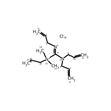 C=CCN=C(N(CC=C)CC=C)[N+](C)(C)CC=C.[Cl-]